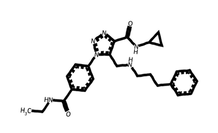 CCNC(=O)c1ccc(-n2nnc(C(=O)NC3CC3)c2CNCCCc2ccccc2)cc1